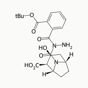 CC(C)(C)OC(=O)c1ccccc1C(=O)N(N)C(=O)N1[C@H]2CC[C@@H]1[C@@H](C(=O)O)[C@@H](O)C2